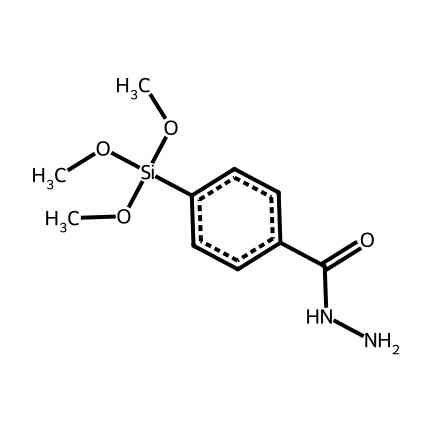 CO[Si](OC)(OC)c1ccc(C(=O)NN)cc1